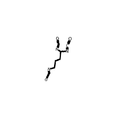 O=C=NCCCC(N=C=O)N=C=O